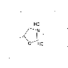 C1=NCCO1.Cl.Cl